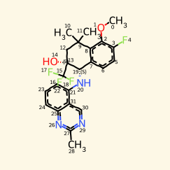 COc1c(F)ccc2c1C(C)(C)C[C@](O)(C(F)(F)F)[C@H]2Nc1cccc2nc(C)ncc12